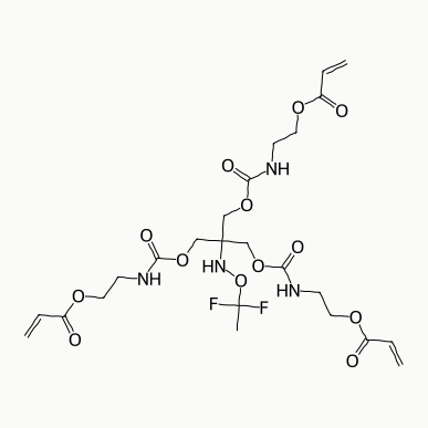 C=CC(=O)OCCNC(=O)OCC(COC(=O)NCCOC(=O)C=C)(COC(=O)NCCOC(=O)C=C)NOC(C)(F)F